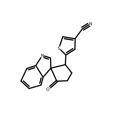 N#Cc1csc(C2CCC(=O)C23C=Nc2ccccc23)c1